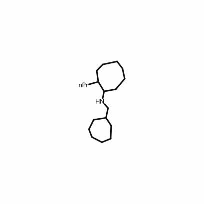 CCCC1CCCCCCC1NCC1CCCCCC1